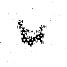 COc1nc(-c2cccc(-c3cccc(-c4cc5cc6c(c(C#N)c5o4)CC[C@H]6NCCO)c3C)c2C)cnc1CNCCO